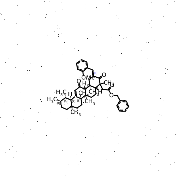 COc1ccccc1/C=C1\C[C@]2(C)[C@H]3C(=O)C=C4[C@@H]5[C@@H](C)[C@H](C)CC[C@]5(C)CC[C@@]4(C)[C@]3(C)CC[C@H]2C(C)(CC(=O)OCc2ccccc2)C1=O